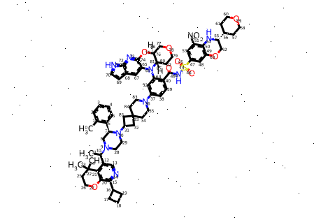 Cc1ccccc1[C@@H]1CN(C(C)c2cnc(C3CCC3)c3c2C(C)(C)CCO3)CCN1C1CC2(CCN(c3ccc(C(=O)NS(=O)(=O)c4cc5c(c([N+](=O)[O-])c4)N[C@H](C4CCOCC4)CO5)c(N4c5cc6cc[nH]c6nc5O[C@H]5COCC[C@@H]54)c3)CC2)C1